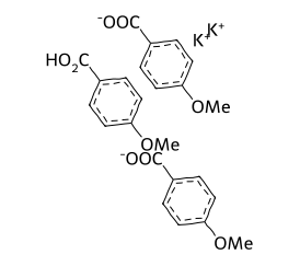 COc1ccc(C(=O)O)cc1.COc1ccc(C(=O)[O-])cc1.COc1ccc(C(=O)[O-])cc1.[K+].[K+]